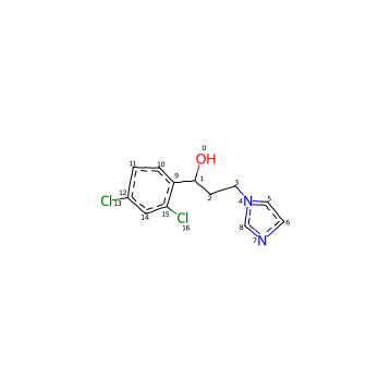 OC(CCn1ccnc1)c1ccc(Cl)cc1Cl